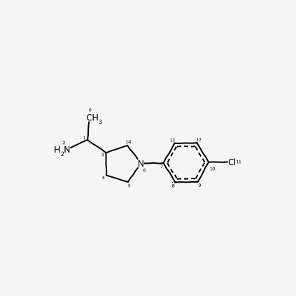 CC(N)C1CCN(c2[c]cc(Cl)cc2)C1